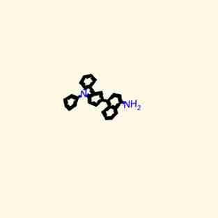 Nc1ccc(-c2ccc3c(c2)c2ccccc2n3-c2ccccc2)c2ccccc12